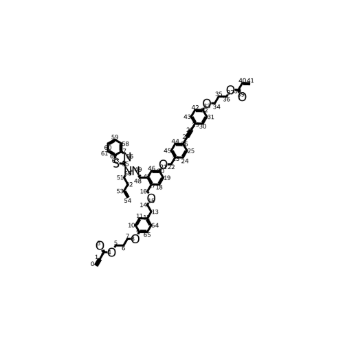 C#CC(=O)OCCCOc1ccc(CCOCc2ccc(OCc3ccc(C#Cc4ccc(OCCCOC(=O)C=C)cc4)cc3)cc2/C=N/N(CCC=C)c2nc3ccccc3s2)cc1